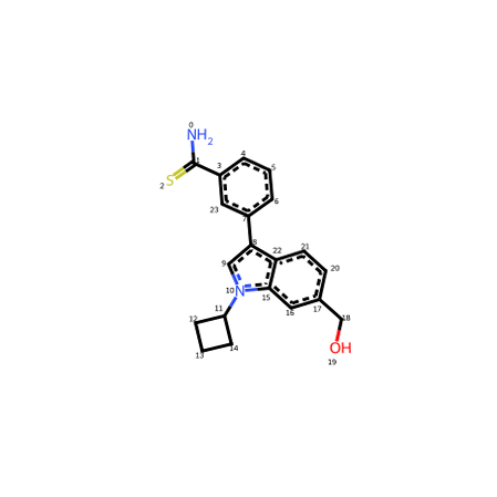 NC(=S)c1cccc(-c2cn(C3CCC3)c3cc(CO)ccc23)c1